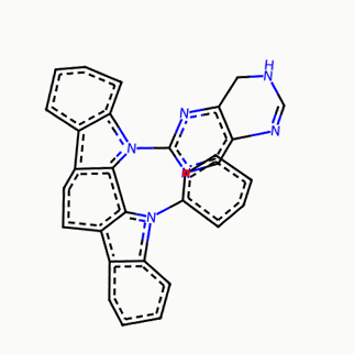 C1=Nc2cnc(-n3c4ccccc4c4ccc5c6ccccc6n(-c6ccccc6)c5c43)nc2CN1